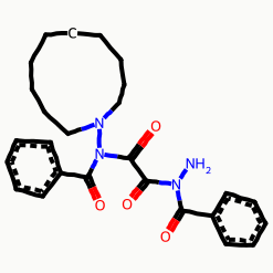 NN(C(=O)C(=O)N(C(=O)c1ccccc1)N1CCCCCCCCCC1)C(=O)c1ccccc1